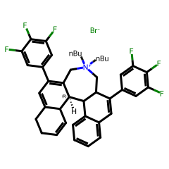 CCCC[N+]1(CCCC)CC2=C(c3cc(F)c(F)c(F)c3)C=C3CCC=CC3[C@@H]2C2c3ccccc3C=C(c3cc(F)c(F)c(F)c3)C2C1.[Br-]